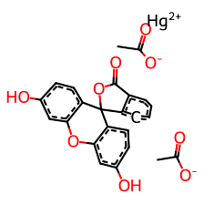 CC(=O)[O-].CC(=O)[O-].O=C1OC2(c3ccc(O)cc3Oc3cc(O)ccc32)c2ccccc21.[Hg+2]